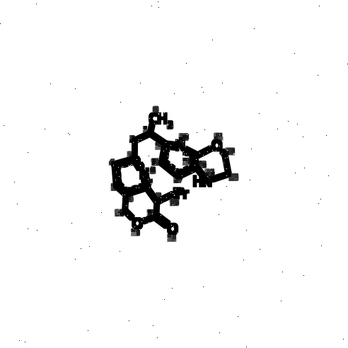 CC(Cc1ccc2c(n1)C(C(C)C)C(=O)OC2)c1ccc2c(n1)OCCN2